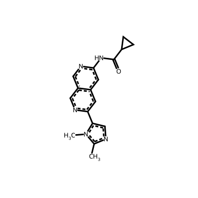 Cc1ncc(-c2cc3cc(NC(=O)C4CC4)ncc3cn2)n1C